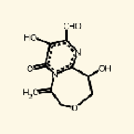 C=C1COCC(O)c2nc(C=O)c(O)c(=O)n21